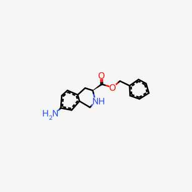 Nc1ccc2c(c1)CN[C@H](C(=O)OCc1ccccc1)C2